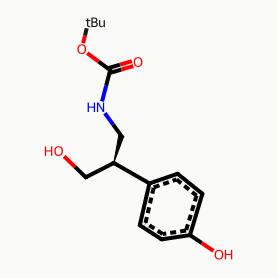 CC(C)(C)OC(=O)NC[C@H](CO)c1ccc(O)cc1